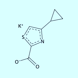 O=C([O-])c1nc(C2CC2)cs1.[K+]